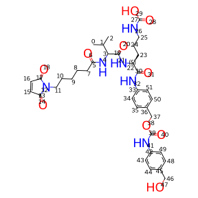 CC(C)C(NC(=O)CCCCCN1C(=O)C=CC1=O)C(=O)N[C@@H](CCCNC(=O)O)C(=O)Nc1ccc(COC(=O)Nc2ccc(CO)cc2)cc1